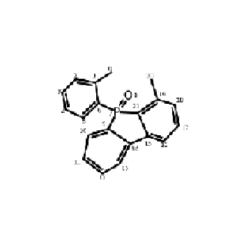 Cc1ccccc1P1(=O)c2ccccc2-c2cccc(C)c21